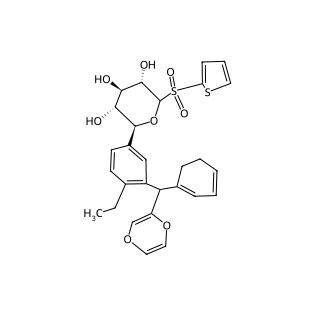 CCc1ccc([C@@H]2OC(S(=O)(=O)c3cccs3)[C@@H](O)[C@H](O)[C@H]2O)cc1C(C1=CC=CCC1)C1=COC=CO1